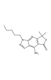 CCCCCn1ncc2c(N)c3c(nc21)C(C)(C)OC3=O